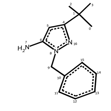 CC(C)(C)c1cc(N)n(Cc2ccccc2)n1